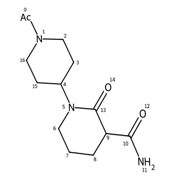 CC(=O)N1CCC(N2CCCC(C(N)=O)C2=O)CC1